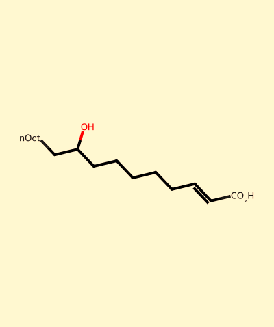 CCCCCCCCCC(O)CCCCC/C=C/C(=O)O